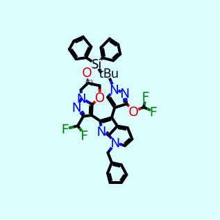 Cn1cc(-c2c3cccn(Cc4ccccc4)c-3nc2-c2c(C(F)F)nn3c2OC[C@@H](O[Si](c2ccccc2)(c2ccccc2)C(C)(C)C)C3)c(OC(F)F)n1